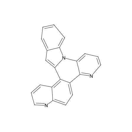 c1ccc2c(c1)cc1c3c4cccnc4ccc3c3ncccc3n21